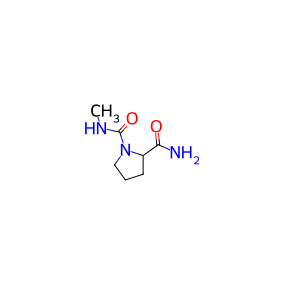 CNC(=O)N1CCCC1C(N)=O